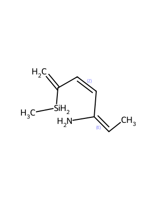 C=C(/C=C\C(N)=C/C)[SiH2]C